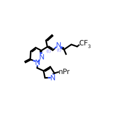 C=C/C(=C\N=C(/C)CCC(F)(F)F)C1=NN(CC2=CC(CCC)=NC2)C(=C)C=C1